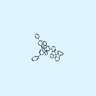 c1ccc(-c2ccc3c(c2)Oc2cc(-c4cccc5c4-c4ccccc4C54c5ccccc5-c5ccccc54)cc4c2N3c2ccc(-c3ccccc3)cc2O4)cc1